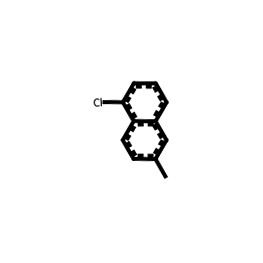 Cc1ccc2c(Cl)cccc2c1